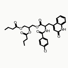 CCCC(=O)OCC(COC(=O)C(Cc1cc(=O)[nH]c2ccccc12)NC(=O)c1ccc(Cl)cc1)OC(=O)CCC